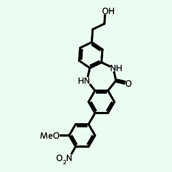 COc1cc(-c2ccc3c(c2)Nc2ccc(CCO)cc2NC3=O)ccc1[N+](=O)[O-]